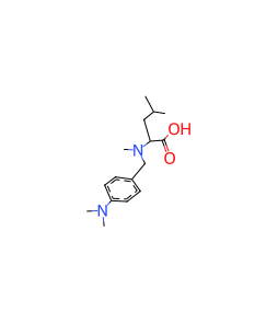 CC(C)CC(C(=O)O)N(C)Cc1ccc(N(C)C)cc1